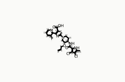 C=CCO[C@H]1CN(c2nc(-c3ncccc3F)c(C(=O)O)s2)CC[C@H]1NC(=O)c1[nH]c(C)c(Cl)c1Cl